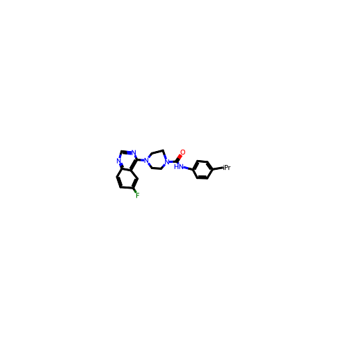 CC(C)c1ccc(NC(=O)N2CCN(c3ncnc4ccc(F)cc34)CC2)cc1